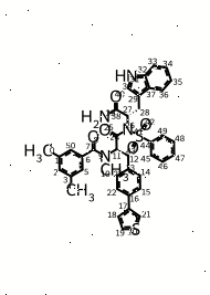 Cc1cc(C)cc(C(=O)N(C)[C@H](Cc2ccc(-c3ccsc3)cc2)C(=O)N([C@@H](Cc2c[nH]c3ccccc23)C(N)=O)S(=O)(=O)c2ccccc2)c1